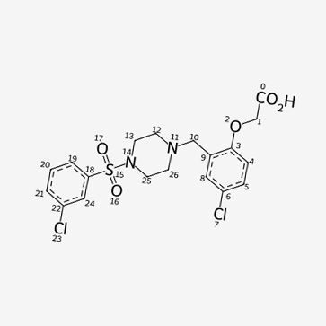 O=C(O)COc1ccc(Cl)cc1CN1CCN(S(=O)(=O)c2cccc(Cl)c2)CC1